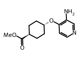 COC(=O)[C@H]1CC[C@H](Oc2ccncc2N)CC1